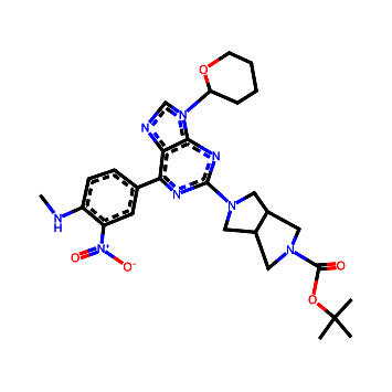 CNc1ccc(-c2nc(N3CC4CN(C(=O)OC(C)(C)C)CC4C3)nc3c2ncn3C2CCCCO2)cc1[N+](=O)[O-]